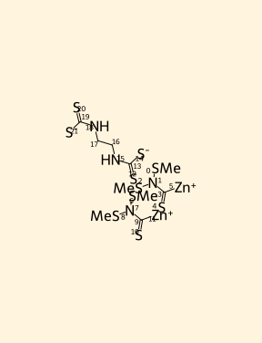 CSN(SC)[C](=S)[Zn+].CSN(SC)[C](=S)[Zn+].S=C([S-])NCCNC(=S)[S-]